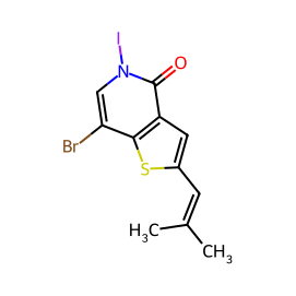 CC(C)=Cc1cc2c(=O)n(I)cc(Br)c2s1